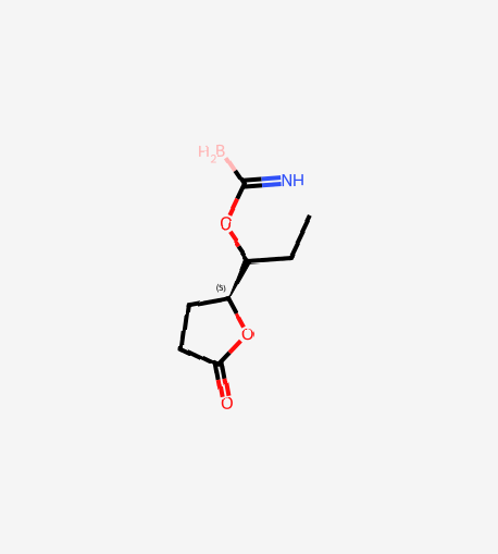 BC(=N)OC(CC)[C@@H]1CCC(=O)O1